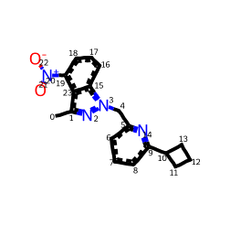 Cc1nn(Cc2cccc(C3CCC3)n2)c2cccc([N+](=O)[O-])c12